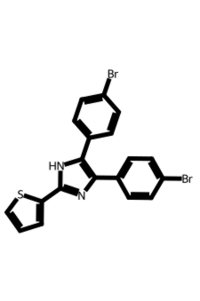 Brc1ccc(-c2nc(-c3cccs3)[nH]c2-c2ccc(Br)cc2)cc1